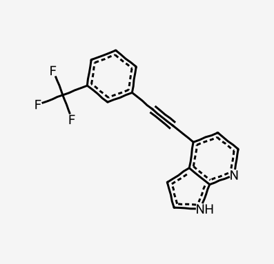 FC(F)(F)c1cccc(C#Cc2ccnc3[nH]ccc23)c1